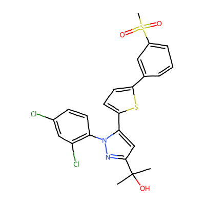 CC(C)(O)c1cc(-c2ccc(-c3cccc(S(C)(=O)=O)c3)s2)n(-c2ccc(Cl)cc2Cl)n1